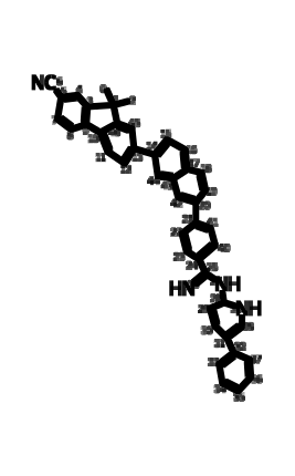 CC1(C)c2cc(C#N)ccc2-c2ccc(-c3ccc4ccc(-c5ccc(C(=N)NC6C=CC(c7ccccc7)=CN6)cc5)cc4c3)cc21